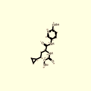 COc1ccc(NC(=O)C(CCC2CC2)NC(=O)OC(C)(C)C)cn1